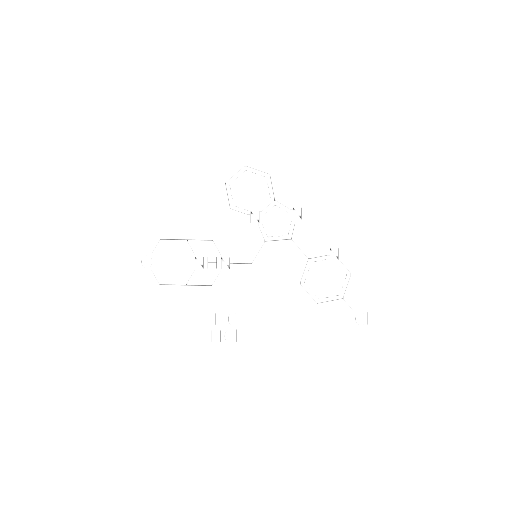 Cl.Cl.Clc1ccc(-c2nc3ccccn3c2CN2CC3COCC(C2)N3)nc1